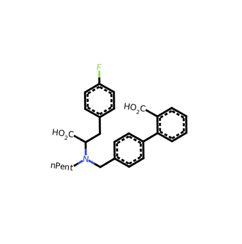 CCCCCN(Cc1ccc(-c2ccccc2C(=O)O)cc1)C(Cc1ccc(F)cc1)C(=O)O